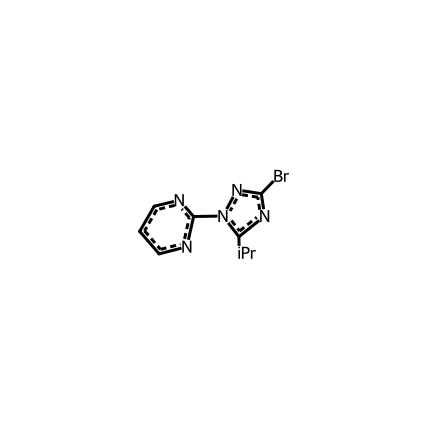 CC(C)c1nc(Br)nn1-c1ncccn1